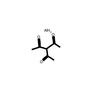 CC(=O)C(C(C)=O)C(C)=O.[AlH3]